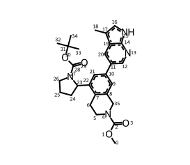 COC(=O)N1CCc2c(cc(-c3cnc4[nH]cc(C)c4c3)cc2C2CCCN2C(=O)OC(C)(C)C)C1